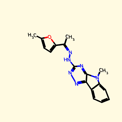 CC(=NNc1nnc2c3ccccc3n(C)c2n1)c1ccc(C)o1